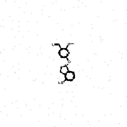 COc1nc(O[C@H]2CCc3c(O)cccc32)ccc1C=O